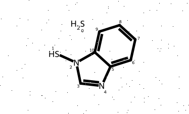 S.Sn1cnc2ccccc21